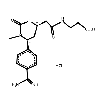 CN1C(=O)O[C@@H](CC(=O)NCCC(=O)O)C[C@H]1c1ccc(C(=N)N)cc1.Cl